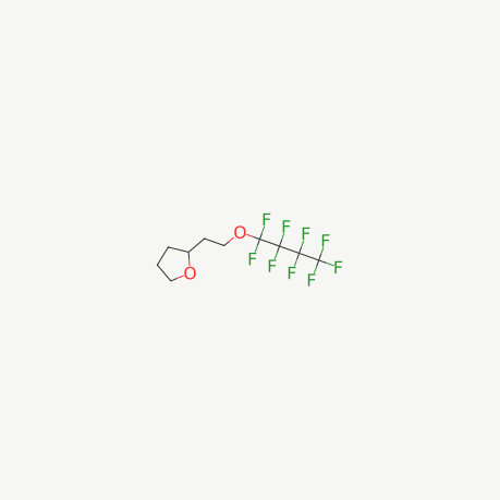 FC(F)(F)C(F)(F)C(F)(F)C(F)(F)OCCC1CCCO1